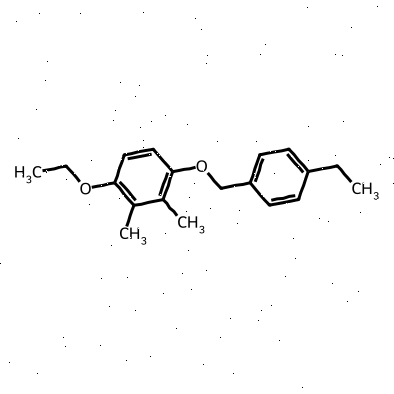 CCOc1ccc(OCc2ccc(CC)cc2)c(C)c1C